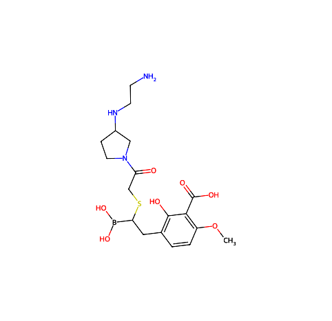 COc1ccc(CC(SCC(=O)N2CCC(NCCN)C2)B(O)O)c(O)c1C(=O)O